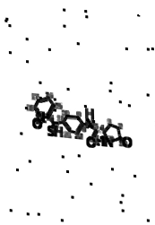 O=C1CC[C@@H](C(=O)Nc2ccc(C(S)c3cccc[n+]3[O-])cc2)N1